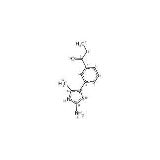 CCC(=O)c1cccc(-c2sc(N)nc2C)c1